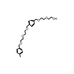 Cc1ccc(COCCOCCOCc2ccc(COCCOCCO)cc2)cc1